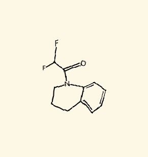 O=C(C(F)F)N1CCCc2ccccc21